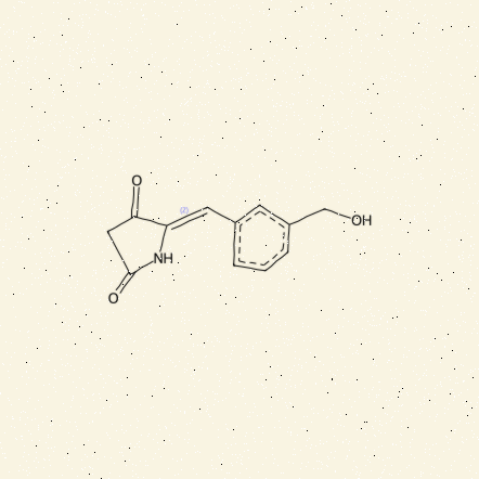 O=C1CC(=O)/C(=C/c2cccc(CO)c2)N1